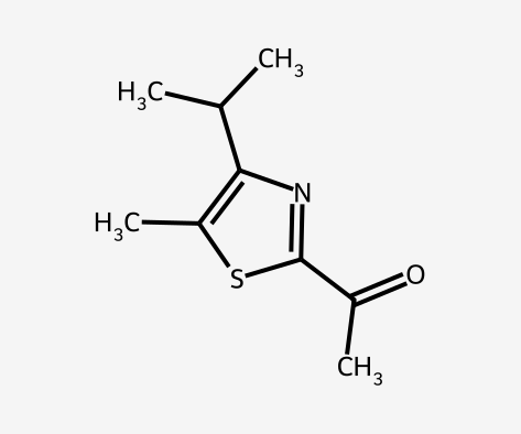 CC(=O)c1nc(C(C)C)c(C)s1